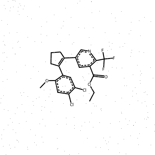 CCOC(=O)c1cc(C2=C(c3cc(Cl)c(Cl)cc3OC)CCC2)cnc1C(F)(F)F